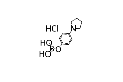 Cl.OB(O)Oc1ccc(N2CCCC2)cc1